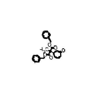 CC(C(=O)OCc1ccccc1)(C(=O)OCc1ccccc1)[C@@H]1CCCC(=O)C1